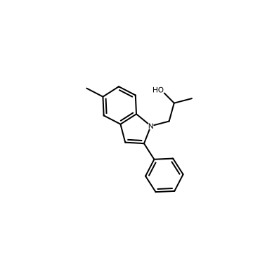 Cc1ccc2c(c1)cc(-c1ccccc1)n2CC(C)O